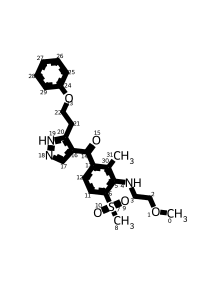 COCCNc1c(S(C)(=O)=O)ccc(C(=O)c2cn[nH]c2CCOc2ccccc2)c1C